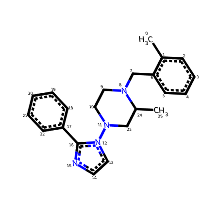 Cc1ccccc1CN1CCN(n2ccnc2-c2ccccc2)CC1C